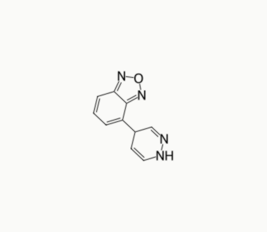 C1=CC(c2cccc3nonc23)C=NN1